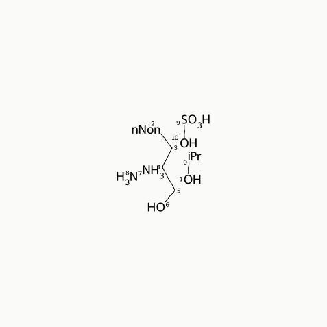 CC(C)O.CCCCCCCCCCCCO.N.N.O=S(=O)(O)O